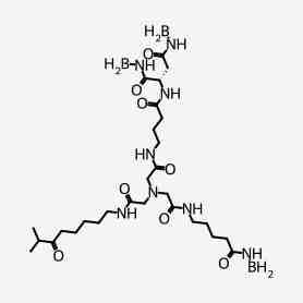 BNC(=O)CCCCNC(=O)CN(CC(=O)NCCCCCC(=O)C(C)C)CC(=O)NCCCC(=O)N[C@@H](CC(=O)NB)C(=O)NB